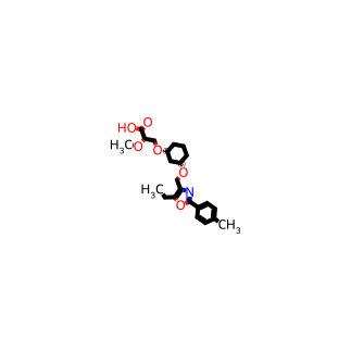 CCc1oc(-c2ccc(C)cc2)nc1CO[C@H]1CCC[C@@H](OCC(OC)C(=O)O)C1